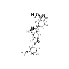 Cc1cc(-c2cc3c(s2)Cc2c(-c4ccc5cnn(C)c5c4)n[nH]c2-3)ccn1